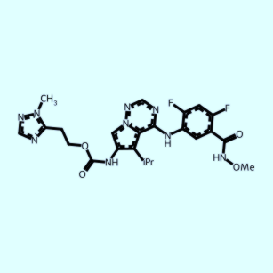 CONC(=O)c1cc(Nc2ncnn3cc(NC(=O)OCCc4ncnn4C)c(C(C)C)c23)c(F)cc1F